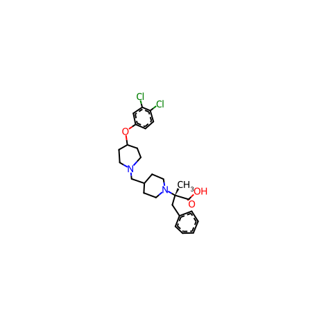 C[C@](Cc1ccccc1)(C(=O)O)N1CCC(CN2CCC(Oc3ccc(Cl)c(Cl)c3)CC2)CC1